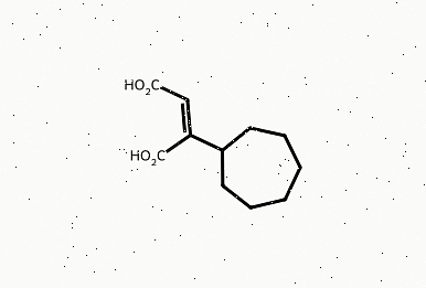 O=C(O)/C=C(\C(=O)O)C1CCCCCC1